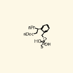 CCCCCCCCCCCC(CCC)c1ccccc1COP(O)(O)=S